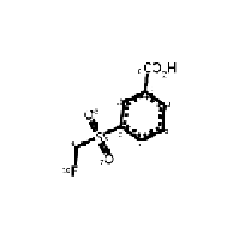 O=C(O)c1cccc(S(=O)(=O)CF)c1